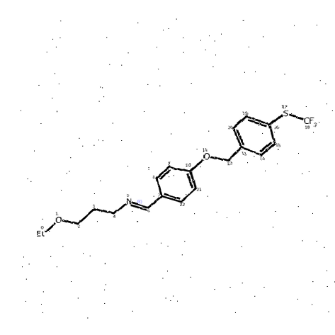 CCOCCC/N=C/c1ccc(OCc2ccc(SC(F)(F)F)cc2)cc1